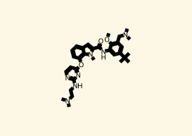 COc1c(CN(C)C)cc(C(C)(C)C)cc1NC(=O)c1cc2cccc(Oc3ccnc(NCCN(C)C)n3)c2n1C